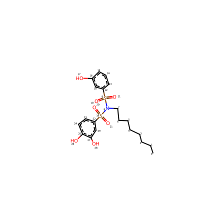 CCCCCCCCN(S(=O)(=O)c1cccc(O)c1)S(=O)(=O)c1ccc(O)c(O)c1